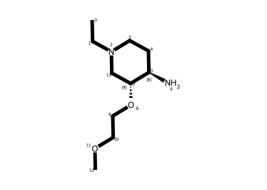 CCN1CC[C@@H](N)[C@H](OCCOC)C1